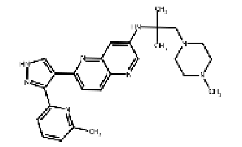 Cc1cccc(-c2n[nH]cc2-c2ccc3ncc(NC(C)(C)CN4CCN(C)CC4)cc3n2)n1